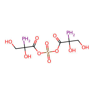 O=C(OS(=O)(=O)OC(=O)C(O)(P)CO)C(O)(P)CO